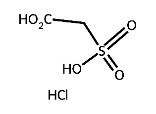 Cl.O=C(O)CS(=O)(=O)O